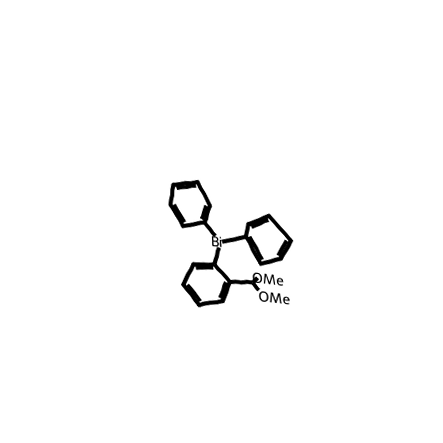 COC(OC)c1cccc[c]1[Bi]([c]1ccccc1)[c]1ccccc1